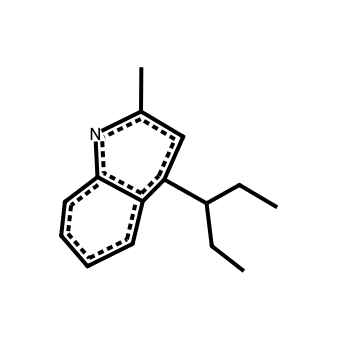 CCC(CC)c1cc(C)nc2ccccc12